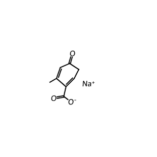 CC1=CC(=O)CC=C1C(=O)[O-].[Na+]